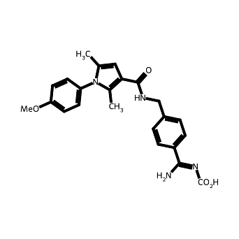 COc1ccc(-n2c(C)cc(C(=O)NCc3ccc(C(N)=NC(=O)O)cc3)c2C)cc1